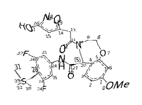 COc1ccc2c(c1)OCCN(C(=O)Cc1cc(O)no1)[C@@H]2C(=O)Nc1cc(F)c(S(C)(C)C)c(F)c1